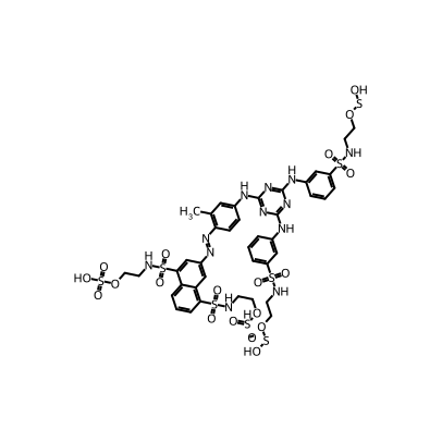 Cc1cc(Nc2nc(Nc3cccc(S(=O)(=O)NCCOSO)c3)nc(Nc3cccc(S(=O)(=O)NCCOSO)c3)n2)ccc1/N=N/c1cc(S(=O)(=O)NCCOS(=O)(=O)O)c2cccc(S(=O)(=O)NCCO[SH](=O)=O)c2c1